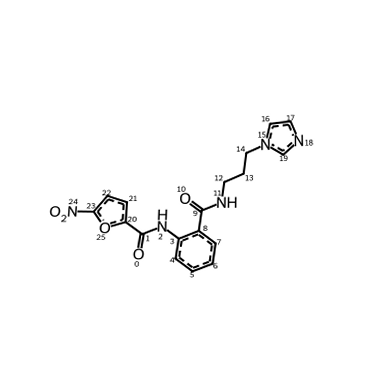 O=C(Nc1ccccc1C(=O)NCCCn1ccnc1)c1ccc([N+](=O)[O-])o1